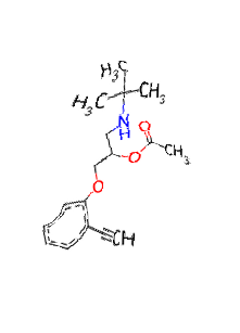 C#Cc1ccccc1OCC(CNC(C)(C)C)OC(C)=O